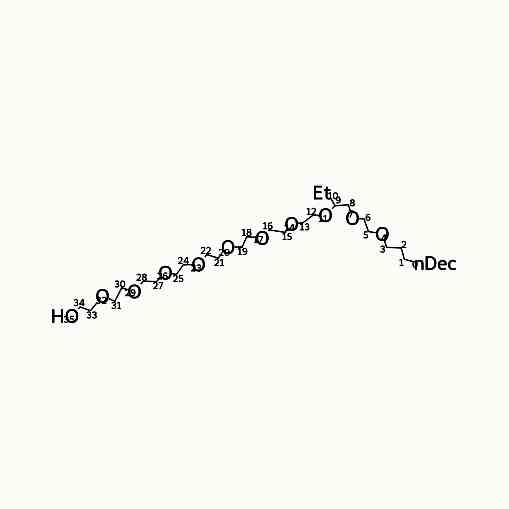 CCCCCCCCCCCCCOCCOCC(CC)OCCOCCOCCOCCOCCOCCOCCOCCO